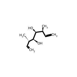 C=C[C@H](C)[C@H](O)[C@@H](O)[C@@H](C)C=C